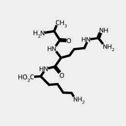 CC(N)C(=O)NC(CCCNC(=N)N)C(=O)NC(CCCCN)C(=O)O